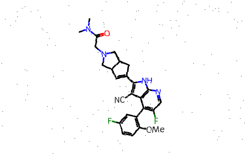 COc1ccc(F)cc1-c1c(F)cnc2[nH]c(C3=CC4CN(CC(=O)N(C)C)CC4C3)c(C#N)c12